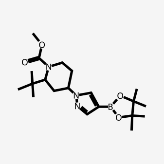 COC(=O)N1CCC(n2cc(B3OC(C)(C)C(C)(C)O3)cn2)CC1C(C)(C)C